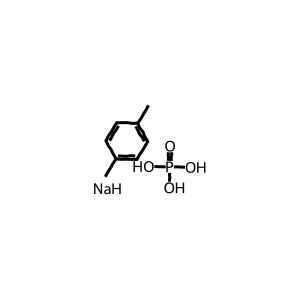 Cc1ccc(C)cc1.O=P(O)(O)O.[NaH]